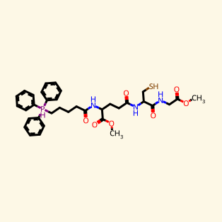 COC(=O)CNC(=O)C(CS)NC(=O)CCC(NC(=O)CCCC[PH](c1ccccc1)(c1ccccc1)c1ccccc1)C(=O)OC